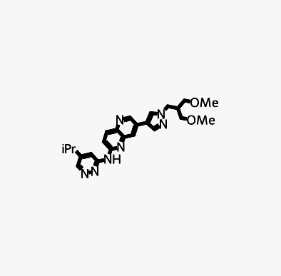 COCC(COC)Cn1cc(-c2cnc3ccc(Nc4cc(C(C)C)cnn4)nc3c2)cn1